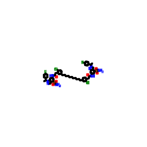 CC(c1ccc(F)cc1)n1cc2c(S(N)(=O)=O)cc(NC(=O)Cc3ccc(CCCCCCCCCCCc4ccc(Cl)c(CC(=O)Nc5cc(S(N)(=O)=O)c6cnn(C(C)c7ccc(F)cc7)c6c5)c4)cc3Cl)cc2n1